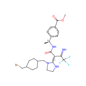 COC(=O)c1ccc([C@H](C)NC(=O)/C(C(=N)C(F)(F)F)=C2/NCCN2CC2CCC(CBr)CC2)cc1